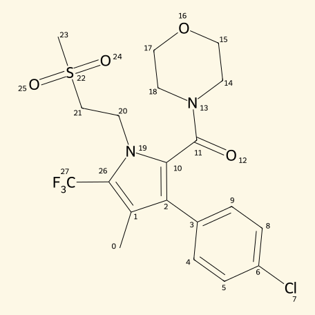 Cc1c(-c2ccc(Cl)cc2)c(C(=O)N2CCOCC2)n(CCS(C)(=O)=O)c1C(F)(F)F